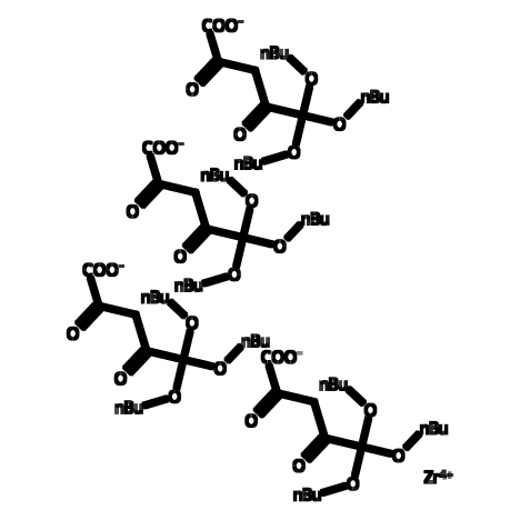 CCCCOC(OCCCC)(OCCCC)C(=O)CC(=O)C(=O)[O-].CCCCOC(OCCCC)(OCCCC)C(=O)CC(=O)C(=O)[O-].CCCCOC(OCCCC)(OCCCC)C(=O)CC(=O)C(=O)[O-].CCCCOC(OCCCC)(OCCCC)C(=O)CC(=O)C(=O)[O-].[Zr+4]